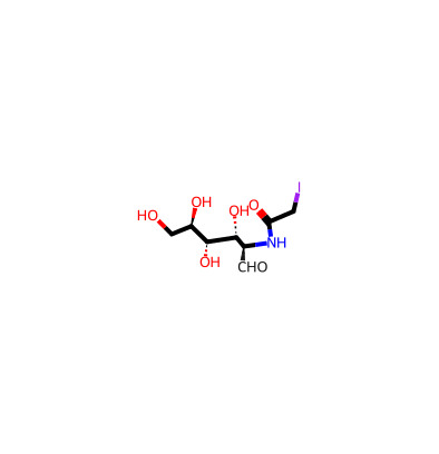 O=C[C@H](NC(=O)CI)[C@@H](O)[C@H](O)[C@H](O)CO